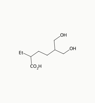 CCC(CCC(CO)CO)C(=O)O